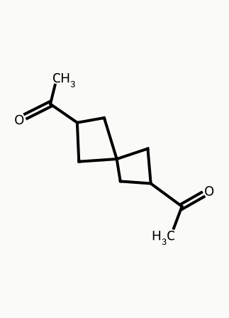 CC(=O)C1CC2(C1)CC(C(C)=O)C2